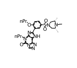 CCCOc1ccc(S(=O)(=O)N2C[C@@H](C)N(C)[C@@H](C)C2)cc1-c1nc2c([nH]1)c1nncn1c(=O)n2CCC